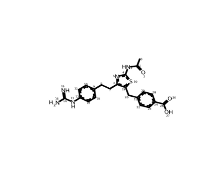 CC(=O)Nc1nc(CCc2ccc(NC(=N)N)cc2)c(Cc2ccc(C(=O)O)cc2)s1